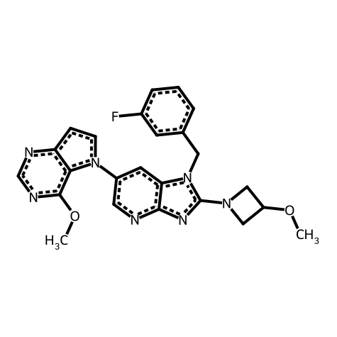 COc1ncnc2ccn(-c3cnc4nc(N5CC(OC)C5)n(Cc5cccc(F)c5)c4c3)c12